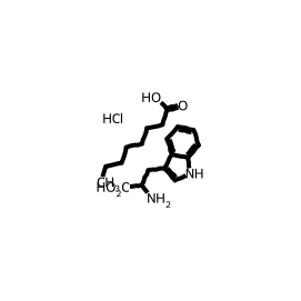 CCCCCCCC(=O)O.Cl.NC(Cc1c[nH]c2ccccc12)C(=O)O